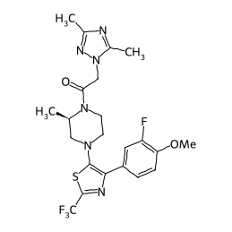 COc1ccc(-c2nc(C(F)(F)F)sc2N2CCN(C(=O)Cn3nc(C)nc3C)[C@H](C)C2)cc1F